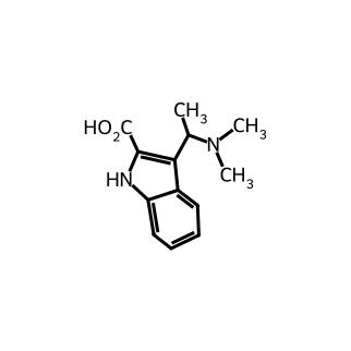 CC(c1c(C(=O)O)[nH]c2ccccc12)N(C)C